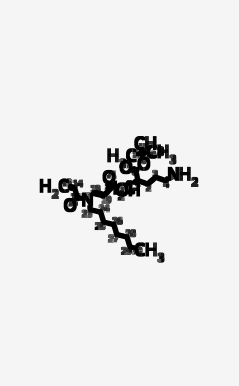 C=C(CCCN)C(=O)OC(C)(C)C.C=CC(=O)N(C=CC(=O)O)CCCCCCCC